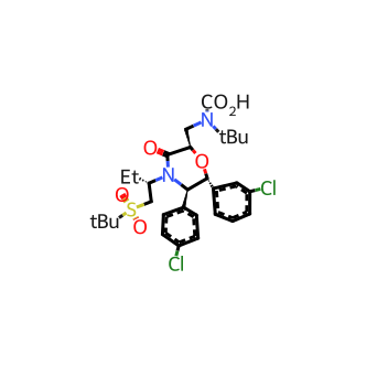 CC[C@@H](CS(=O)(=O)C(C)(C)C)N1C(=O)[C@@H](CN(C(=O)O)C(C)(C)C)O[C@H](c2cccc(Cl)c2)[C@H]1c1ccc(Cl)cc1